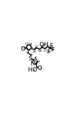 O=C(O)c1csc(SCC[C@H]2C(=O)CC[C@H]2/C=C/C[C@@H](O)CCC(F)(F)F)n1